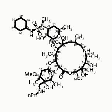 CCCNC[C@]1(O)[C@H](C)O[C@@H](O[C@H]2[C@H](C)[C@@H](O[C@@H]3O[C@H](C)C[C@H](N(C)S(=O)(=O)NC4CCCCC4)[C@H]3O)[C@](C)(O)C[C@@H](C)CN[C@H](C)[C@@H](O)[C@](C)(O)[C@@H](CC)OC(=O)[C@@H]2C)C[C@@]1(C)OC